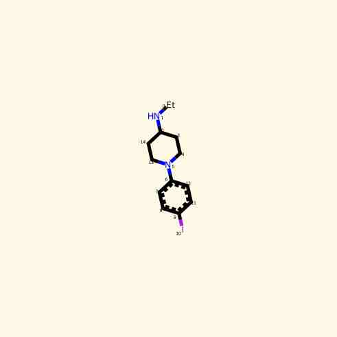 CCNC1CCN(c2ccc(I)cc2)CC1